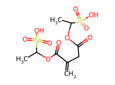 C=C(CC(=O)OC(C)S(=O)(=O)O)C(=O)OC(C)S(=O)(=O)O